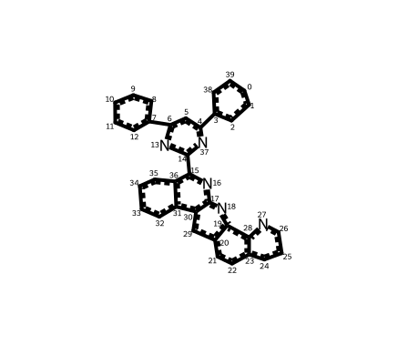 c1ccc(-c2cc(-c3ccccc3)nc(-c3nc4nc5c(ccc6cccnc65)cc4c4ccccc34)n2)cc1